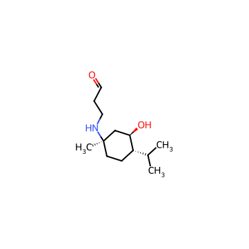 CC(C)[C@@H]1CC[C@@](C)(NCCC=O)C[C@H]1O